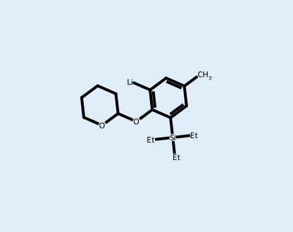 [Li][c]1cc(C)cc([Si](CC)(CC)CC)c1OC1CCCCO1